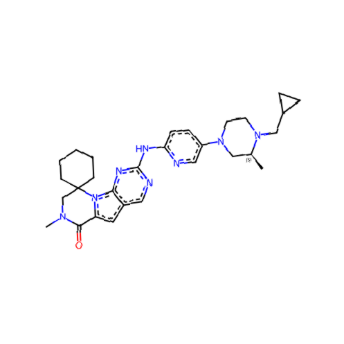 C[C@H]1CN(c2ccc(Nc3ncc4cc5n(c4n3)C3(CCCCC3)CN(C)C5=O)nc2)CCN1CC1CC1